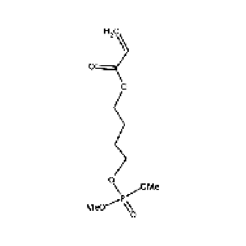 C=CC(=O)OCCCCOP(=O)(OC)OC